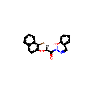 CCC(Oc1ccc2ccccc2c1Br)C(=O)N/N=C\c1ccccc1O